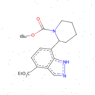 CCOC(=O)c1ccc(C2CCCCN2C(=O)OC(C)(C)C)c2[nH]ncc12